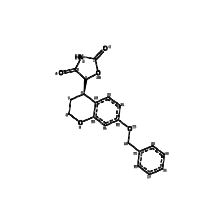 O=C1NC(=O)C([C@@H]2CCOc3cc(OCc4ccccc4)ccc32)O1